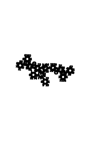 c1ccc(-c2nc(-c3ccccc3)nc(-c3cc(-c4ccc5c(c4)oc4c5ccc5c4c4ccccc4n5-c4ccccc4)cnc3-c3ccc4c(c3)oc3c4ccc4c3c3ccccc3n4-c3ccccc3)n2)cc1